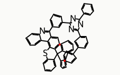 c1ccc(-c2cccc(-c3nc(-c4ccccc4)nc(-c4cccc(-c5nc6ccccc6c6c7c(ccc56)C5(c6ccccc6S7)c6ccccc6-c6ccccc65)c4)n3)c2)cc1